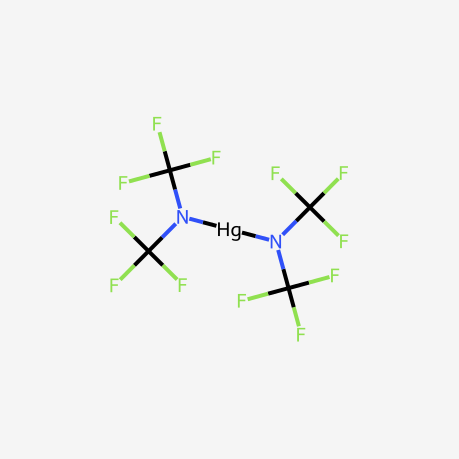 FC(F)(F)[N]([Hg][N](C(F)(F)F)C(F)(F)F)C(F)(F)F